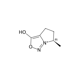 C[C@@H]1CCc2c(O)on[n+]21